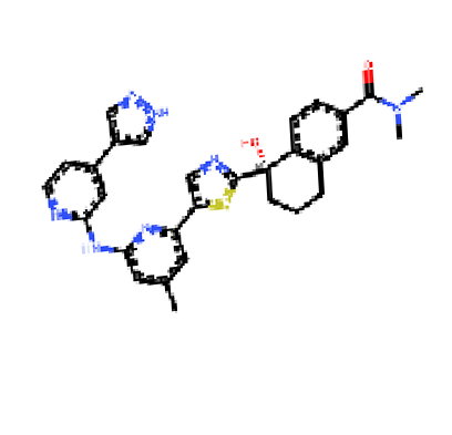 Cc1cc(Nc2cc(-c3cn[nH]c3)ccn2)nc(-c2cnc([C@]3(O)CCCc4cc(C(=O)N(C)C)ccc43)s2)c1